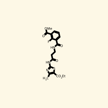 CCOC(=O)c1sc(NC(=O)CCNC(=O)c2cccc(C(=O)OC)c2F)nc1C